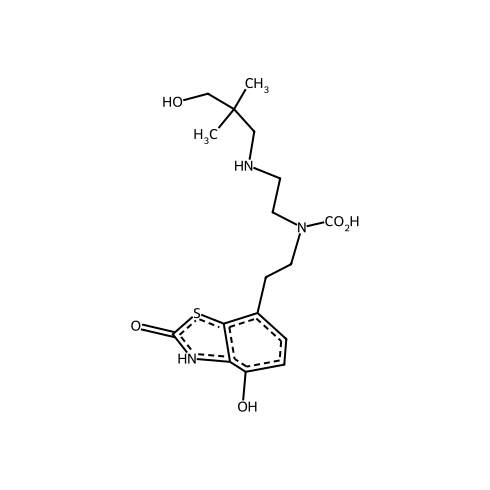 CC(C)(CO)CNCCN(CCc1ccc(O)c2[nH]c(=O)sc12)C(=O)O